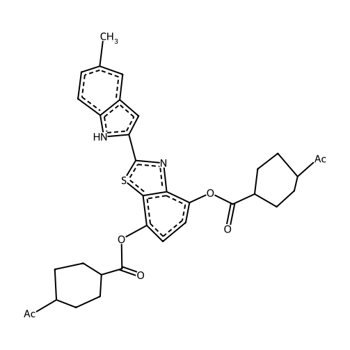 CC(=O)C1CCC(C(=O)Oc2ccc(OC(=O)C3CCC(C(C)=O)CC3)c3sc(-c4cc5cc(C)ccc5[nH]4)nc23)CC1